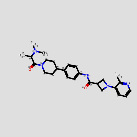 Cc1ncccc1N1CC(C(=O)Nc2ccc(C3CCN(C(=O)C(C)N(C)C)CC3)cc2)C1